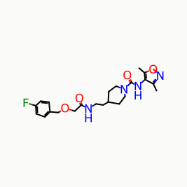 Cc1noc(C)c1NC(=O)N1CCC(CCNC(=O)COCc2ccc(F)cc2)CC1